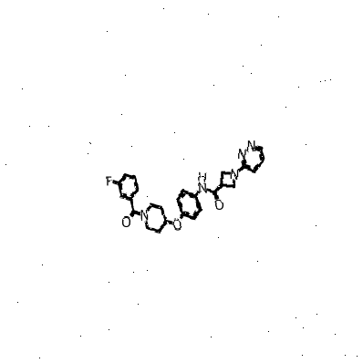 O=C(Nc1ccc(OC2CCN(C(=O)c3cccc(F)c3)CC2)cc1)C1CN(c2cccnn2)C1